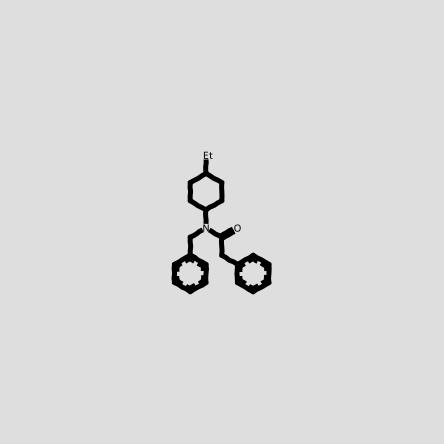 CCC1CCC(N(Cc2ccccc2)C(=O)Cc2ccccc2)CC1